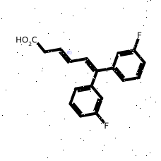 O=C(O)C/C=C/C=C(c1cccc(F)c1)c1cccc(F)c1